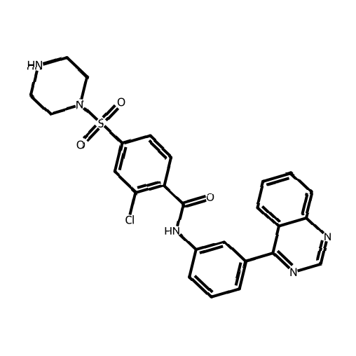 O=C(Nc1cccc(-c2ncnc3ccccc23)c1)c1ccc(S(=O)(=O)N2CCNCC2)cc1Cl